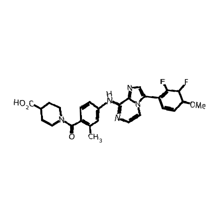 COC1C=CC(c2cnc3c(Nc4ccc(C(=O)N5CCC(C(=O)O)CC5)c(C)c4)nccn23)=C(F)C1F